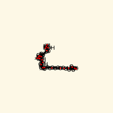 COc1cc2c(cc1OCCCCCOc1cc3c(cc1OC)C(=O)N1C=C(C)C[C@H]1[C@H](O)N3C(=O)OCc1ccc(NC(=O)[C@H](C)NC(=O)[C@@H](NC(=O)CCOCCOCCOCCOCCOCCOCCOCCOCCNC(=O)CCN3C(=O)CC(C4CCCCC4)C3=O)C(C)C)cc1)N=C[C@@H]1CC(C)=CC1C2O